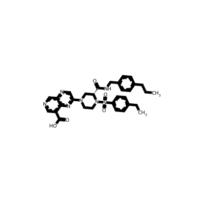 CCCc1ccc(CNC(=O)[C@H]2CN(c3cnc4cncc(C(=O)O)c4n3)CCN2S(=O)(=O)c2ccc(CC)cc2)cc1